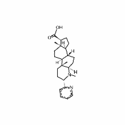 CN1[C@H](c2ccccn2)CC[C@]2(C)[C@H]3CC[C@]4(C)[C@@H](C(=O)O)CC[C@H]4[C@@H]3CC[C@@H]12